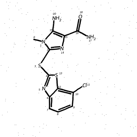 Cn1c(Sc2nc3cccc(Cl)c3s2)nc(C(N)=O)c1N